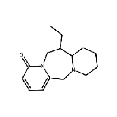 CCC1Cn2c(cccc2=O)CN2CCCCC12